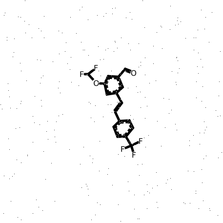 O=Cc1cc(/C=C/c2ccc(C(F)(F)F)cc2)cc(OC(F)F)c1